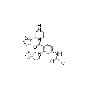 O=C(Nc1ccc(C(=O)N2CCNCC2c2cccs2)c(N2CCC3(CCC3)C2)c1)C1CC1